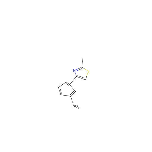 Cc1nc(-c2cccc([N+](=O)[O-])c2)cs1